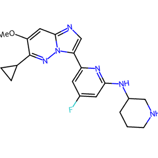 COc1cc2ncc(-c3cc(F)cc(NC4CCCNC4)n3)n2nc1C1CC1